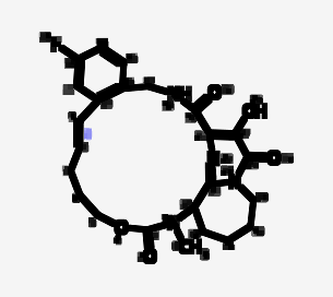 CN1C(=O)OCCC/C=C/c2cc(F)ccc2CNC(=O)c2nc3n(c(=O)c2O)CCCCC31